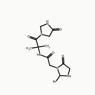 CC(C)C1NCC(=O)N1CC(=O)NC(C)(C)C(=O)N1CNC(=O)C1